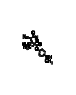 CCC1(C(=O)Oc2ccc(NC)cc2)N=NC(=O)C(C#N)=C1C